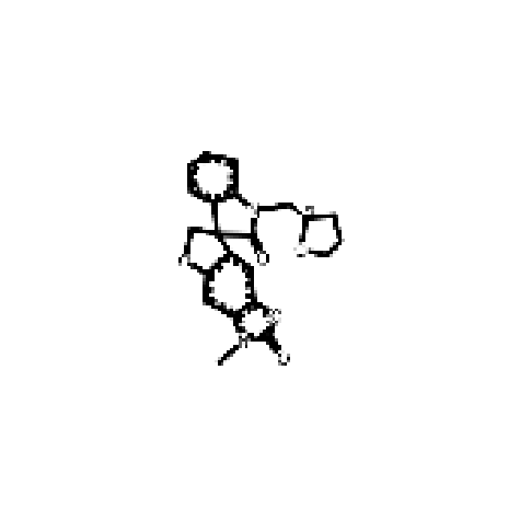 Cn1c(=O)oc2cc3c(cc21)OCC31C(=O)N(C[C@H]2CCCO2)c2ccccc21